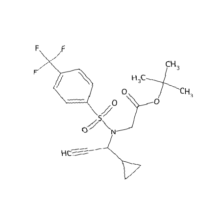 C#CC(C1CC1)N(CC(=O)OC(C)(C)C)S(=O)(=O)c1ccc(C(F)(F)F)cc1